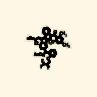 CCCCC(CC)CN1c2c(cc(C(=O)c3c(C)cc(C)cc3C)c3ccccc23)C2=CC(/C(=N\OC(C)=O)c3ccccc3OCC(F)C(F)F)=CCC21